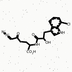 [N-]=[N+]=CC(=O)CCC(NC(=O)C(O)Cc1c[nH]c2c(Cl)cccc12)C(=O)O